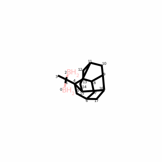 BC(B)(C)C12CC3CC4C5CC(CC41)CC2C5C3